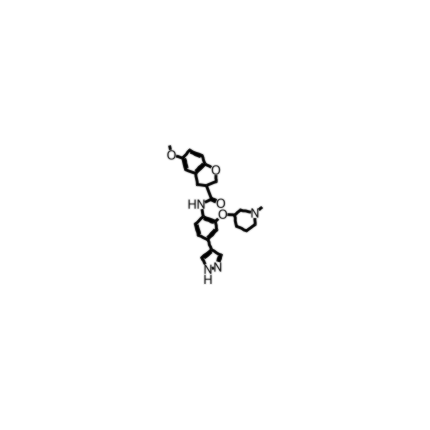 COc1ccc2c(c1)CC(C(=O)Nc1ccc(-c3cn[nH]c3)cc1OC1CCCN(C)C1)CO2